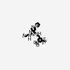 CN(C)CCNc1nc(NCCc2cc([N+](=O)[O-])cc(C(F)(F)F)c2)c2cc(N3CCCC3)ncc2n1